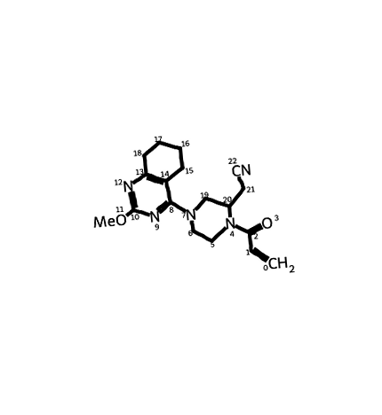 C=CC(=O)N1CCN(c2nc(OC)nc3c2CCCC3)CC1CC#N